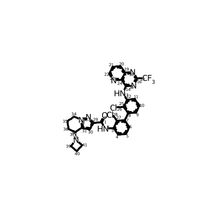 O=C(Nc1cccc(-c2cccc(Nc3nc(C(F)(F)F)nc4cccnc34)c2Cl)c1Cl)c1cc2n(n1)CCC[C@H]2N1CCC1